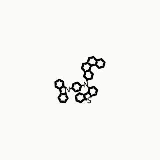 c1ccc2c(c1)ccc1ccc3cc(N(c4ccc(-n5c6ccccc6c6ccccc65)cc4)c4cccc5sc6ccccc6c45)ccc3c12